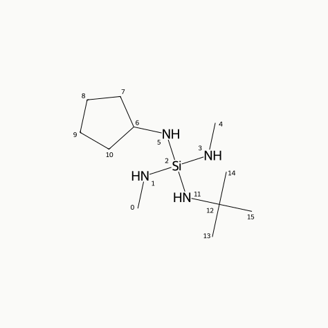 CN[Si](NC)(NC1CCCC1)NC(C)(C)C